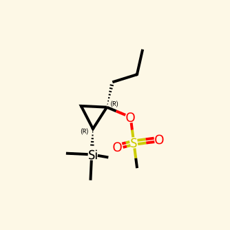 CCC[C@@]1(OS(C)(=O)=O)C[C@H]1[Si](C)(C)C